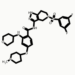 CN1CCC(Oc2ccc(C(=O)Nc3n[nH]c4c3CN(S(=O)(=O)c3cc(F)cc(F)c3)CC4)c(NC3CCOCC3)c2)CC1